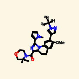 [2H]C([2H])([2H])n1cc(-c2cc3c(cc2OC)CCc2c(C(=O)N4CCOCC4(C)C)nc(-c4cccn4C)n2-3)cn1